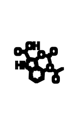 CC(=O)Oc1cccc2[nH]c(C(=O)O)c(OC(C)=O)c12